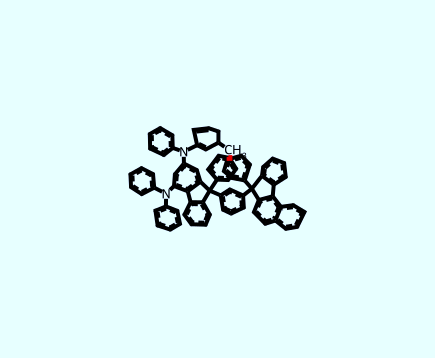 CC1C=C(N(c2ccccc2)c2cc(N(c3ccccc3)c3ccccc3)c3c(c2)C(c2ccccc2)(c2cccc(C4(c5ccccc5)c5ccccc5-c5c4ccc4ccccc54)c2)c2ccccc2-3)C=CC1